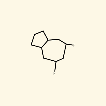 FC1CC(F)CC2CCCC2C1